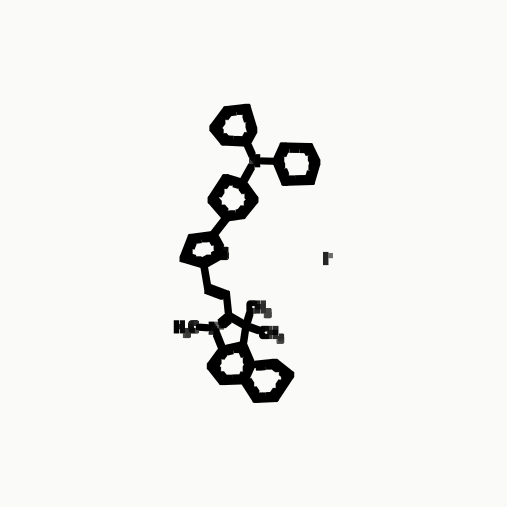 C[N+]1=C(C=Cc2ccc(-c3ccc(N(c4ccccc4)c4ccccc4)cc3)s2)C(C)(C)c2c1ccc1ccccc21.[I-]